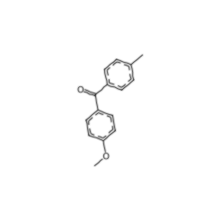 COc1ccc(C(=O)c2ccc(C)cc2)cc1